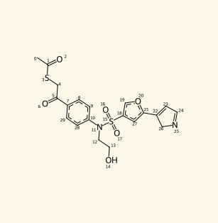 CC(=O)SCC(=O)c1ccc(N(CCO)S(=O)(=O)c2coc(C3=CC=NC3)c2)cc1